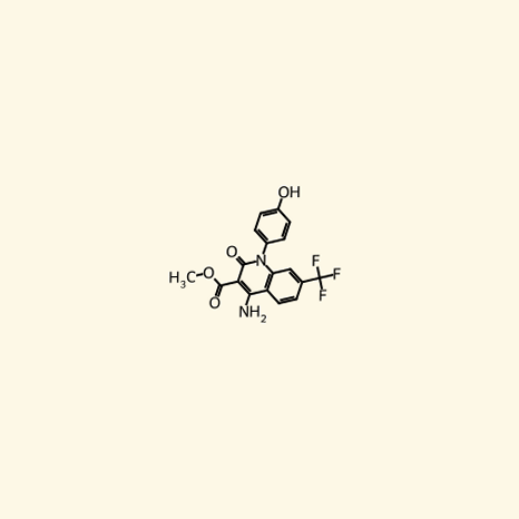 COC(=O)c1c(N)c2ccc(C(F)(F)F)cc2n(-c2ccc(O)cc2)c1=O